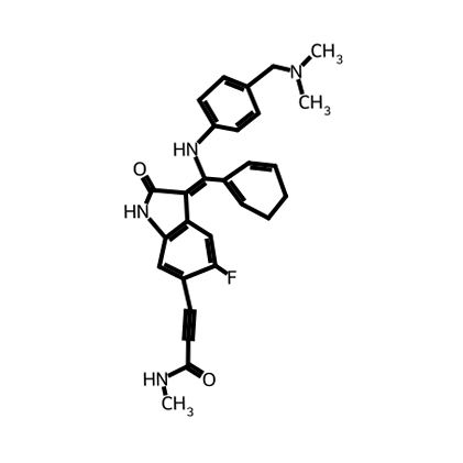 CNC(=O)C#Cc1cc2c(cc1F)/C(=C(/Nc1ccc(CN(C)C)cc1)C1=CCCC=C1)C(=O)N2